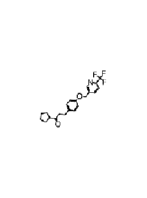 O=C(CCc1ccc(OCc2ccc(C(F)(F)F)nc2)cc1)C1CCCC1